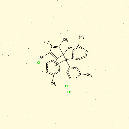 CC1=C(C)[C]([Ti+3])([Si](c2cccc(C)c2)(c2cccc(C)c2)c2cccc(C)c2)C(C)=C1C.[Cl-].[Cl-].[Cl-]